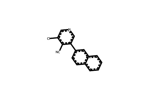 N#Cc1c(Cl)cncc1-c1ccc2ccccc2c1